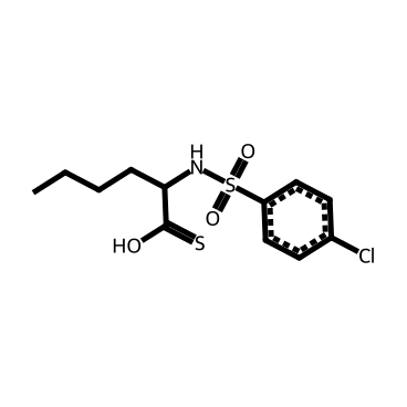 CCCCC(NS(=O)(=O)c1ccc(Cl)cc1)C(O)=S